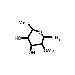 COC1OC(C)C(OC)C(O)C1O